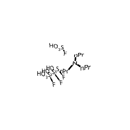 CCCN(CCC)CCC.O=S(=O)(O)F.O=S(=O)(O)F.O=S(=O)(O)F.O=S(=O)(O)F